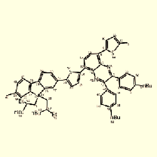 CCCCc1ccc(-c2nc3c(-c4ccc(C)s4)ccc(-c4ccc(-c5ccc6c(c5)[Si](CC(CC)CCCC)(CC(CC)CCCC)c5cc(C)ccc5-6)s4)c3nc2-c2ccc(CCCC)cc2)cc1